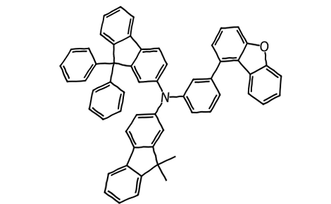 CC1(C)c2ccccc2-c2ccc(N(c3cccc(-c4cccc5oc6ccccc6c45)c3)c3ccc4c(c3)C(c3ccccc3)(c3ccccc3)c3ccccc3-4)cc21